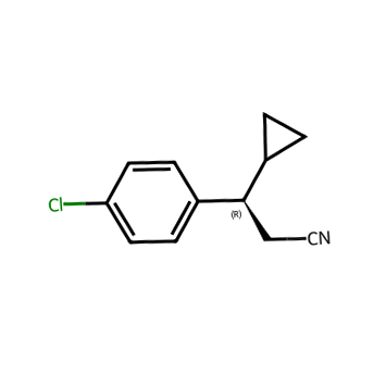 N#CC[C@@H](c1ccc(Cl)cc1)C1CC1